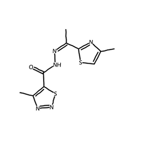 CC(=NNC(=O)c1snnc1C)c1nc(C)cs1